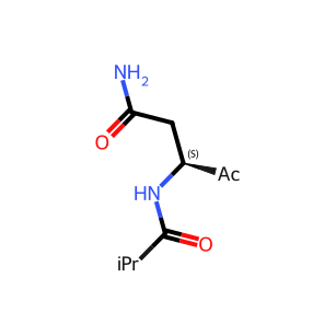 CC(=O)[C@H](CC(N)=O)NC(=O)C(C)C